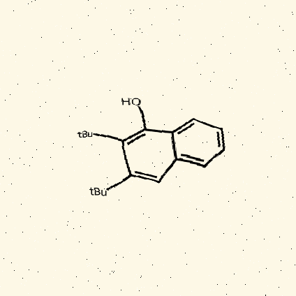 CC(C)(C)c1cc2ccccc2c(O)c1C(C)(C)C